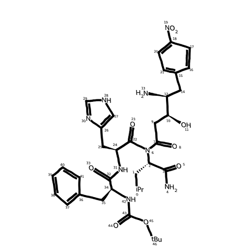 CC(C)C[C@@H](C(N)=O)N(C(=O)C[C@H](O)[C@@H](N)Cc1ccc([N+](=O)[O-])cc1)C(=O)[C@H](Cc1c[nH]cn1)NC(=O)[C@H](Cc1ccccc1)NC(=O)OC(C)(C)C